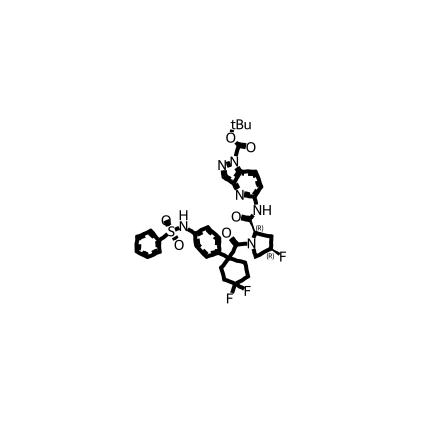 CC(C)(C)OC(=O)n1ncc2nc(NC(=O)[C@H]3C[C@@H](F)CN3C(=O)C3(c4ccc(NS(=O)(=O)c5ccccc5)cc4)CCC(F)(F)CC3)ccc21